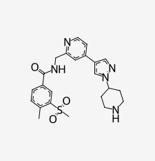 Cc1ccc(C(=O)NCc2cc(-c3cnn(C4CCNCC4)c3)ccn2)cc1S(C)(=O)=O